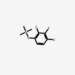 [Li][c]1ccc(O[Si](C)(C)C)c(F)c1F